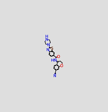 N#Cc1ccc2c(c1)OCC[C@@H]2NC(=O)c1ccc2nc(N3CCNCC3)sc2c1